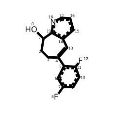 OC1CCC(c2cc(F)ccc2F)=Cc2cccnc21